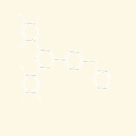 Cc1cc(C)c(-c2cc(-c3ccc(Nc4ccccc4)cc3)cc(-c3cc(C)c(C)cc3C)n2)cc1C